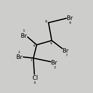 ClC(Br)(Br)C(Br)C(Br)CBr